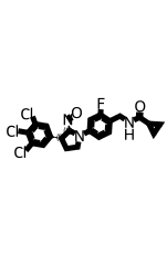 O=N[C@H]1[C@@H](c2cc(Cl)c(Cl)c(Cl)c2)CCN1c1ccc(CNC(=O)C2CC2)c(F)c1